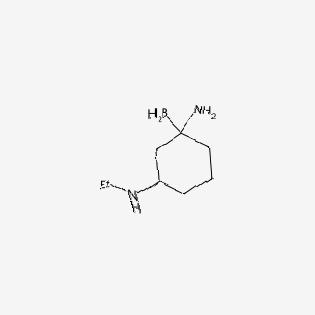 BC1(N)CCCC(NCC)C1